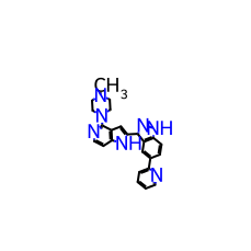 CN1CCN(c2nccc3[nH]c(-c4n[nH]c5ccc(-c6ccccn6)cc45)cc23)CC1